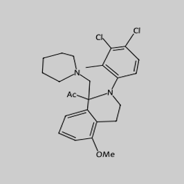 COc1cccc2c1CCN(c1ccc(Cl)c(Cl)c1C)C2(CN1CCCCC1)C(C)=O